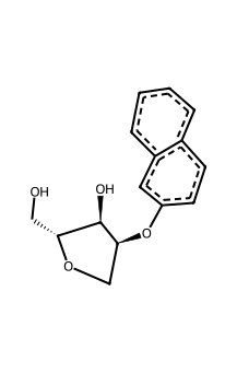 OC[C@H]1OC[C@H](Oc2ccc3ccccc3c2)[C@@H]1O